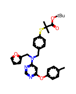 Cc1ccc(Oc2cc(N(Cc3ccc(SC(C)(C)C(=O)OC(C)(C)C)cc3)Cc3ccco3)ncn2)cc1